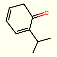 CC(C)C1=CC=CCC1=O